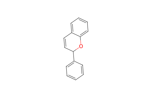 C1=CC(c2ccccc2)Oc2ccccc21